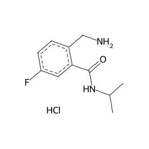 CC(C)NC(=O)c1cc(F)ccc1CN.Cl